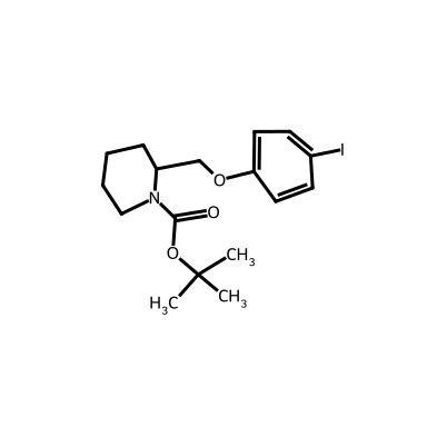 CC(C)(C)OC(=O)N1CCCCC1COc1ccc(I)cc1